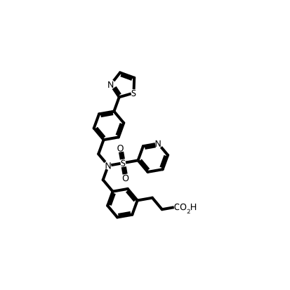 O=C(O)CCc1cccc(CN(Cc2ccc(-c3nccs3)cc2)S(=O)(=O)c2cccnc2)c1